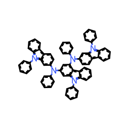 c1ccc(N(c2ccc3c4ccccc4n(-c4ccccc4)c3c2)c2cc(N(c3ccccc3)c3ccc4c5ccccc5n(-c5ccccc5)c4c3)c3c4ccccc4n(-c4ccccc4)c3c2)cc1